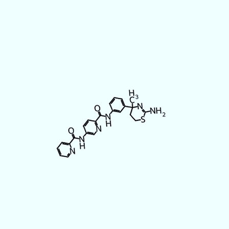 CC1(c2cccc(NC(=O)c3ccc(NC(=O)c4ccccn4)cn3)c2)CCSC(N)=N1